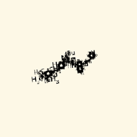 CN1C(=O)C2(C)CC(C)(C(=O)NCc3ccc(-n4nc(C(C)(C)C)cc4NC(=O)Nc4ccc(OCCc5ccncc5)c5ccccc45)cc3)CC(C)(C2)C1=O